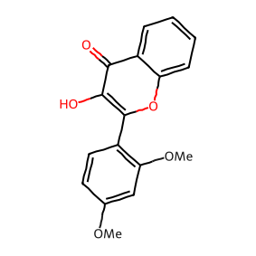 COc1ccc(-c2oc3ccccc3c(=O)c2O)c(OC)c1